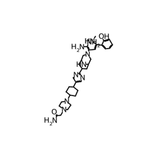 CN/C(=C\C(=C(N)N)N1CC2CC(c3ncc(C4CCC(N5CCN(CC(N)=O)CC5)CC4)cn3)CC(C1)N2)c1ccccc1O